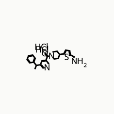 CC(c1ccccc1)c1cncc(C(=O)N2CCC(c3ccc(CN)s3)CC2)c1.Cl.Cl